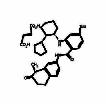 CN1C(=O)CCc2ccc(NC(=O)c3ccc(C(C)(C)C)cc3N[C@H]3CCCC[C@@H]3N3CCCC3)cc21.O=C(O)/C=C/C(=O)O